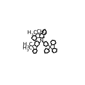 CC1(C)c2ccccc2-c2cc(N(c3ccc(C4(c5ccccc5)c5ccccc5-c5ccccc54)cc3)c3cc4ccccc4c4c3-c3ccccc3C4(C)C)ccc21